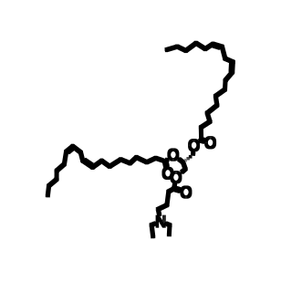 CCCCC/C=C\C/C=C\CCCCCCCC(=O)OC[C@H](COC(=O)CCCN(CC)CC)OC(=O)CCCCCCC/C=C\C/C=C\CCCCC